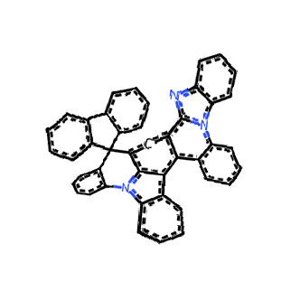 c1ccc2c(c1)-c1ccccc1C21c2ccccc2-n2c3ccccc3c3c4c5ccccc5n5c6ccccc6nc5c4cc1c32